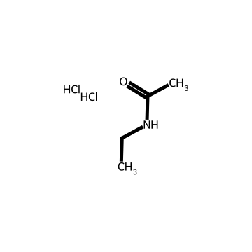 CCNC(C)=O.Cl.Cl